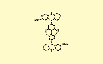 CSc1ccc2c(c1)N(c1cc3cnc4cc(N5c6ccccc6Sc6ccc(SC)cc65)cc5ncc(c1)c3c45)c1ccccc1S2